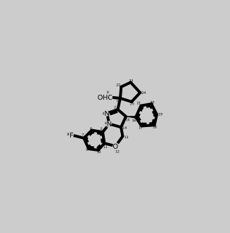 O=CC1(C2=NN3c4cc(F)ccc4OCC3[C@@H]2c2ccccc2)CCCC1